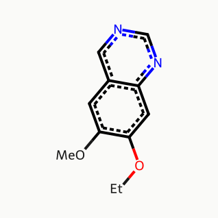 CCOc1cc2ncncc2cc1OC